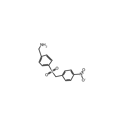 NCc1ccc(S(=O)(=O)Cc2ccc([N+](=O)[O-])cc2)cc1